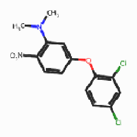 CN(C)c1cc(Oc2ccc(Cl)cc2Cl)ccc1[N+](=O)[O-]